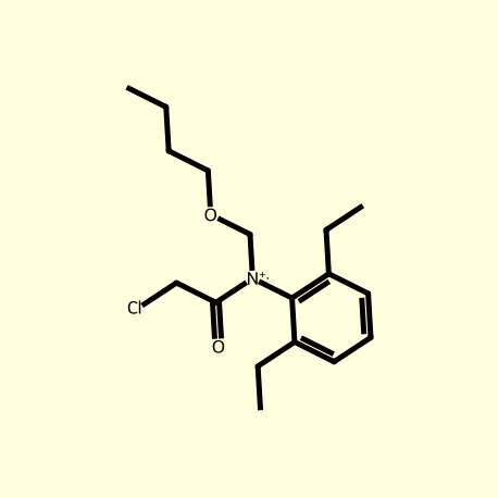 CCCCOC[N+](C(=O)CCl)c1c(CC)cccc1CC